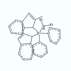 CC[SiH](CC)[Zr]([c]1ccccc1)([c]1ccccc1)([CH]1C(C)=Cc2ccccc21)[CH]1C(C)=Cc2ccccc21